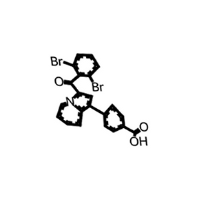 O=C(O)c1ccc(-c2cc(C(=O)c3c(Br)cccc3Br)n3ccccc23)cc1